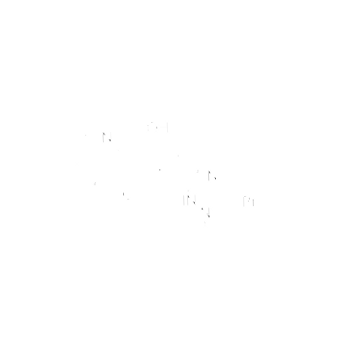 OC(C[CH]c1nc(Br)n[nH]1)c1ncccc1Cl